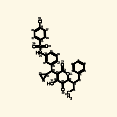 CCC(Cc1ccccc1)C1OC(=O)C(C(c2cccc(NS(=O)(=O)c3ccc(Cl)cc3)c2)C2CC2)=C(O)C1=O